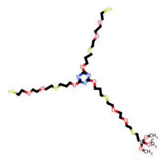 CO[Si](CCSCCOCCOCCSCCCOc1nc(OCCCSCCOCCOCCS)nc(OCCCSCCOCCOCCS)n1)(OC)OC